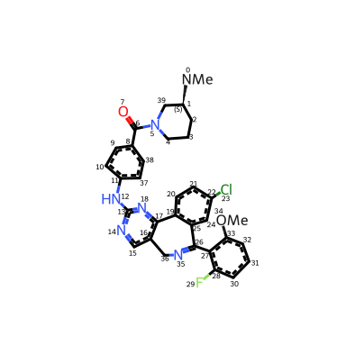 CN[C@H]1CCCN(C(=O)c2ccc(Nc3ncc4c(n3)-c3ccc(Cl)cc3C(c3c(F)cccc3OC)=NC4)cc2)C1